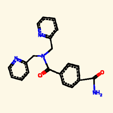 NC(=O)c1ccc(C(=O)N(Cc2ccccn2)Cc2ccccn2)cc1